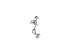 CC(=O)Nc1cccc(-c2cn3c(n2)CN(NCc2ccco2)N3)c1